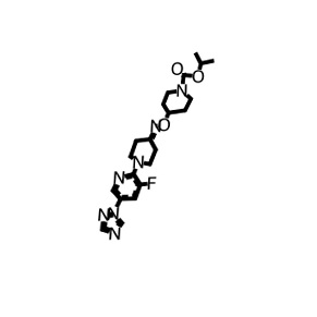 CC(C)OC(=O)N1CCC(ON=C2CCN(c3ncc(-n4cncn4)cc3F)CC2)CC1